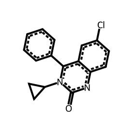 O=c1nc2ccc(Cl)cc2c(-c2ccccc2)n1C1CC1